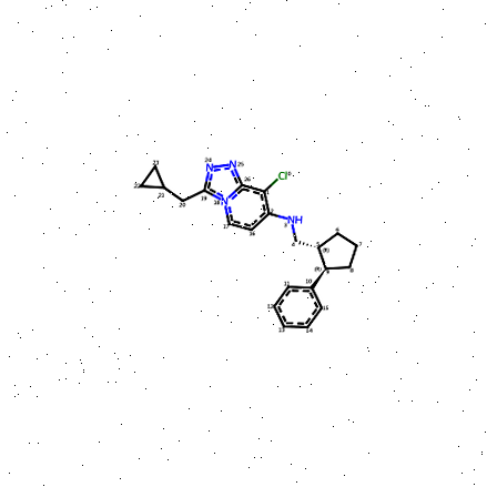 Clc1c(NC[C@@H]2CCC[C@H]2c2ccccc2)ccn2c(CC3CC3)nnc12